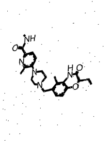 CCC1Oc2ccc(CN3CCN(c4ccc(C(=O)NC)nc4C)CC3)c(C)c2NC1=O